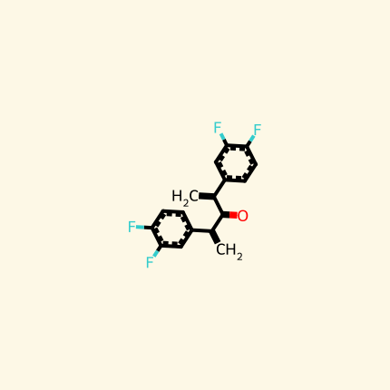 C=C(C(=O)C(=C)c1ccc(F)c(F)c1)c1ccc(F)c(F)c1